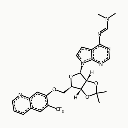 CN(C)/C=N/c1ncnc2c1ccn2[C@@H]1O[C@H](COc2cc3ncccc3cc2C(F)(F)F)[C@H]2OC(C)(C)O[C@H]21